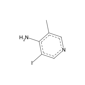 Cc1cncc(I)c1N